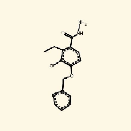 CCc1c(C(=O)NN)ccc(OCc2ccccc2)c1Cl